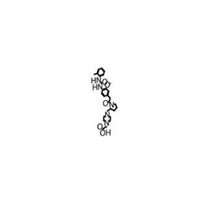 COc1cc(CC(=O)N2CCCC2CN2CCN(CC(=O)O)CC2)ccc1NC(=O)Nc1ccccc1C